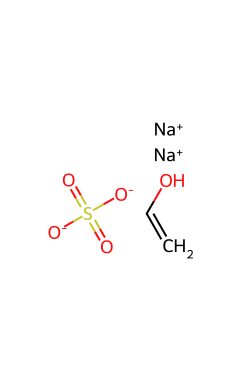 C=CO.O=S(=O)([O-])[O-].[Na+].[Na+]